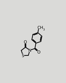 Cc1ccc(C(=O)N2CSCC2=O)cc1